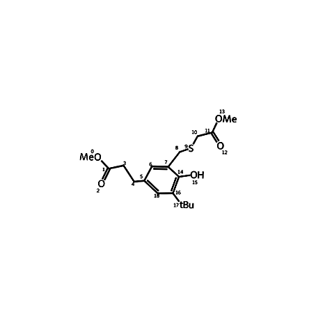 COC(=O)CCc1cc(CSCC(=O)OC)c(O)c(C(C)(C)C)c1